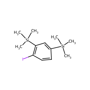 C[Si](C)(C)c1ccc(I)c([Si](C)(C)C)c1